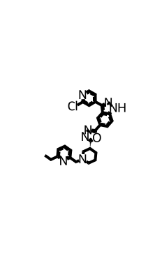 CCc1cccc(CN2CCC[C@@H](c3nnc(-c4ccc5[nH]nc(-c6ccnc(Cl)c6)c5c4)o3)C2)n1